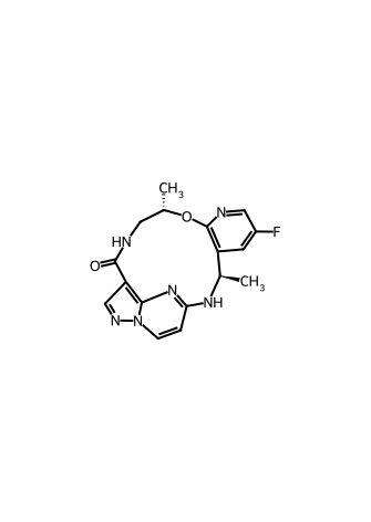 C[C@H]1CNC(=O)c2cnn3ccc(nc23)N[C@H](C)c2cc(F)cnc2O1